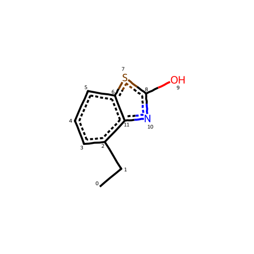 CCc1cccc2sc(O)nc12